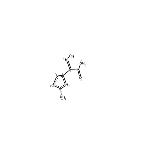 NC(=O)C(=NO)c1noc(N)n1